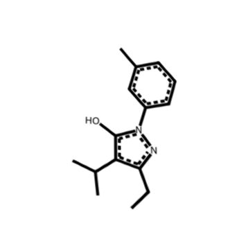 CCc1nn(-c2cccc(C)c2)c(O)c1C(C)C